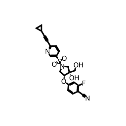 N#Cc1ccc(O[C@H]2CN(S(=O)(=O)c3ccc(C#CC4CC4)nc3)C[C@@]2(O)CO)cc1F